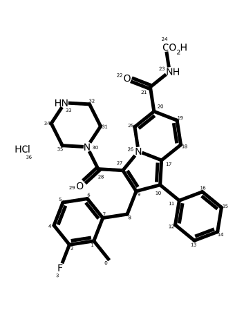 Cc1c(F)cccc1Cc1c(-c2ccccc2)c2ccc(C(=O)NC(=O)O)cn2c1C(=O)N1CCNCC1.Cl